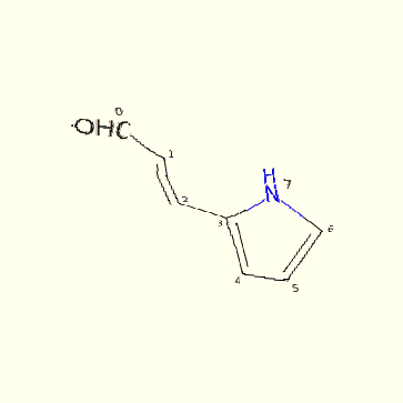 O=[C]C=Cc1ccc[nH]1